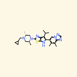 Cc1c(-c2[nH]c3sc(N4C[C@@H](C)N(CC5CC5)C[C@@H]4C)nc3c2C(C)C)cn2ncnc2c1C